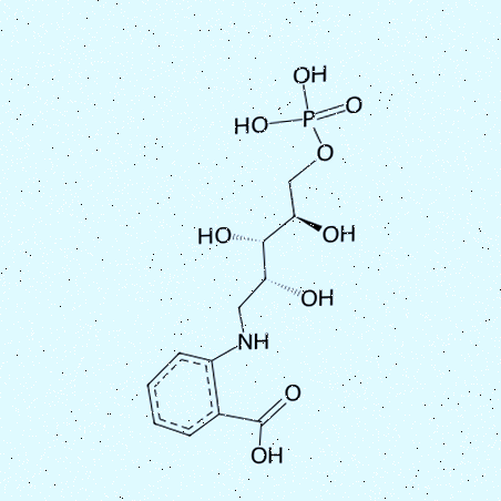 O=C(O)c1ccccc1NC[C@@H](O)[C@H](O)[C@H](O)COP(=O)(O)O